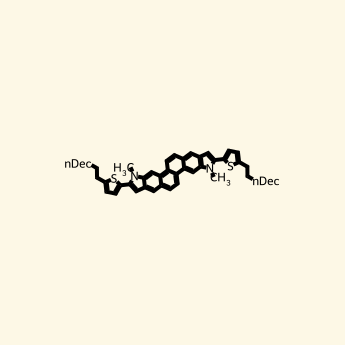 CCCCCCCCCCCCc1ccc(-c2cc3cc4ccc5c6cc7c(cc(-c8ccc(CCCCCCCCCCCC)s8)n7C)cc6ccc5c4cc3n2C)s1